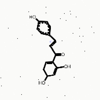 O=C(/C=C/c1ccc(O)cc1)C1=CCC(O)C=C1O